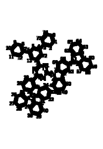 c1ccc(-c2cc(-c3ccccc3)cc(-c3nc(-c4cccc([Si](c5ccccc5)(c5ccccc5)c5ccccc5)c4)nc(-n4c5ccccc5c5cc(-n6c7ccccc7c7ccccc76)ccc54)n3)c2)cc1